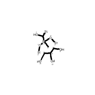 CCO[Si](C)(OCC)C(O)CC.OCC(O)CO